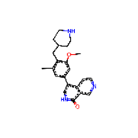 COc1cc(-c2c[nH]c(=O)c3cnccc23)cc(C)c1CC1CCNCC1